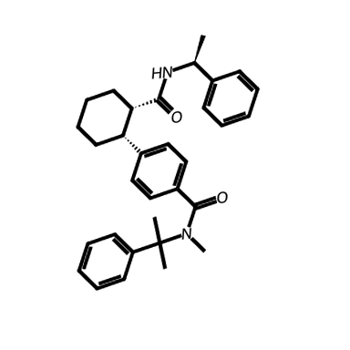 C[C@H](NC(=O)[C@H]1CCCC[C@H]1c1ccc(C(=O)N(C)C(C)(C)c2ccccc2)cc1)c1ccccc1